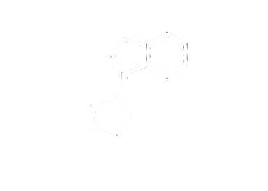 c1ccc2c(c1)ccn2B1CCOO1